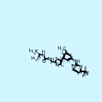 Cc1cc(Nc2nccc(C(F)(F)F)n2)cc(-c2cnc(CNC(=O)NC(C)C)s2)c1